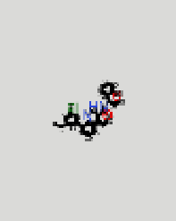 CCc1cc(Cl)cc(-c2cccc3c(CC)c(C(=O)NC4CCOc5ccccc54)cnc23)c1